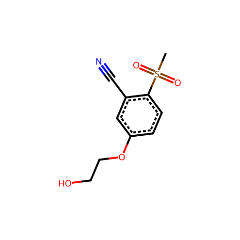 CS(=O)(=O)c1ccc(OCCO)cc1C#N